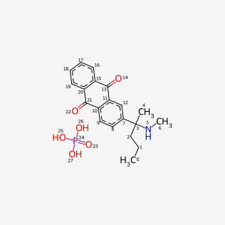 CCCC(C)(NC)c1ccc2c(c1)C(=O)c1ccccc1C2=O.O=P(O)(O)O